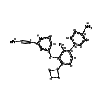 CCCC#Cc1cc(Cc2c(C3CCC3)ccc(-c3cnc(N)cn3)c2F)ccn1